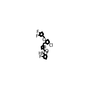 O=C(Nc1c(F)cccc1F)c1ccc(Cc2cc(Cl)ccc2OCc2ccc(F)c(F)c2)o1